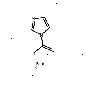 CCC[C@@H](C)CC(=O)n1ccnc1